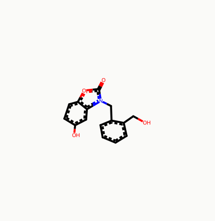 O=c1oc2ccc(O)cc2n1Cc1ccccc1CO